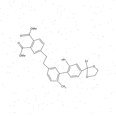 CCCc1cc(C2(CC)OCCO2)ccc1-c1cc(CCc2ccc(C(=O)OC)c(C(=O)OC)c2)ccc1C